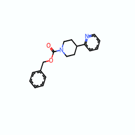 O=C(OCc1ccccc1)N1CCC(c2ccccn2)CC1